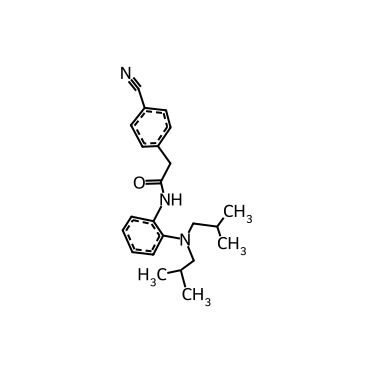 CC(C)CN(CC(C)C)c1ccccc1NC(=O)Cc1ccc(C#N)cc1